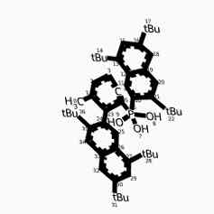 Cc1cccc(P(O)(O)(O)c2cc3c(C(C)(C)C)cc(C(C)(C)C)cc3cc2C(C)(C)C)c1-c1cc2c(C(C)(C)C)cc(C(C)(C)C)cc2cc1C(C)(C)C